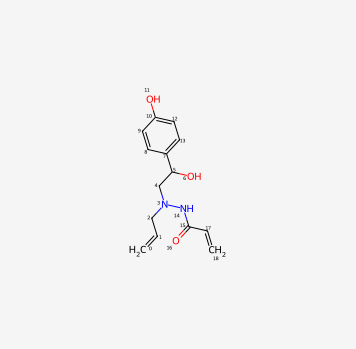 C=CCN(CC(O)c1ccc(O)cc1)NC(=O)C=C